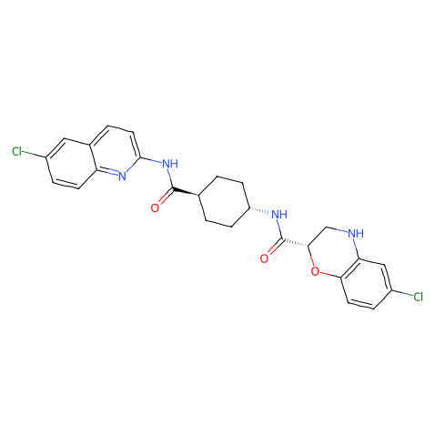 O=C(N[C@H]1CC[C@H](C(=O)Nc2ccc3cc(Cl)ccc3n2)CC1)[C@@H]1CNc2cc(Cl)ccc2O1